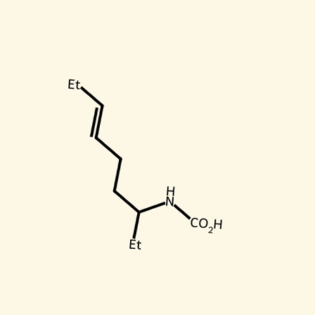 CCC=CCCC(CC)NC(=O)O